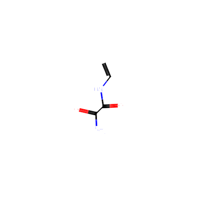 C=CNC(=O)C(N)=O